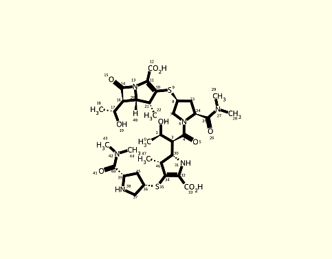 C[C@@H](O)[C@@H](C(=O)N1C[C@@H](SC2=C(C(=O)O)N3C(=O)[C@H]([C@@H](C)O)[C@H]3[C@H]2C)C[C@H]1C(=O)N(C)C)[C@@H]1NC(C(=O)O)=C(S[C@@H]2CN[C@H](C(=O)N(C)C)C2)[C@@H]1C